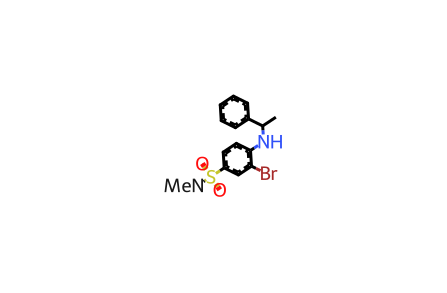 CNS(=O)(=O)c1ccc(NC(C)c2ccccc2)c(Br)c1